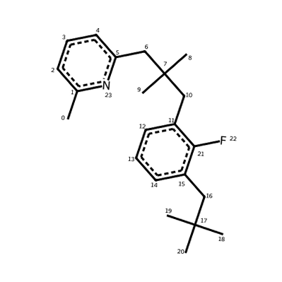 Cc1cccc(CC(C)(C)Cc2cccc(CC(C)(C)C)c2F)n1